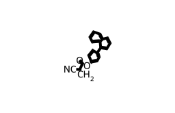 C=C(C#N)C(=O)Oc1ccc(-c2cccc3ccccc23)cc1